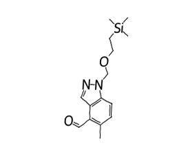 Cc1ccc2c(cnn2COCC[Si](C)(C)C)c1C=O